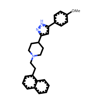 COc1ccc(-c2cc(C3CCN(CCc4cccc5ccccc45)CC3)n[nH]2)cc1